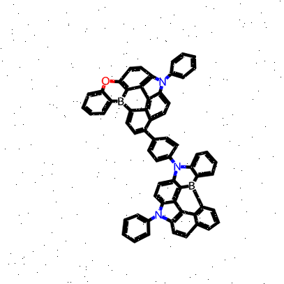 c1ccc(-n2c3ccc4c5c3c3c6c(cccc6ccc32)B5c2ccccc2N4c2ccc(-c3ccc4c5c3ccc3c5c5c6c(ccc5n3-c3ccccc3)Oc3ccccc3B46)cc2)cc1